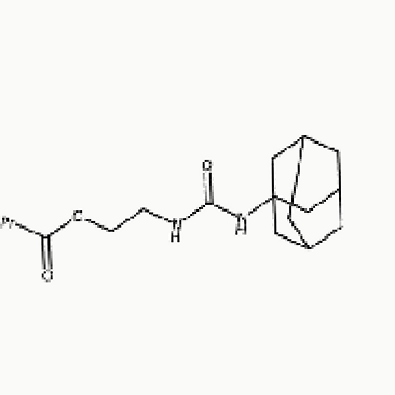 CC(C)C(=O)OCCNC(=O)NC12CC3CC(CC(C3)C1)C2